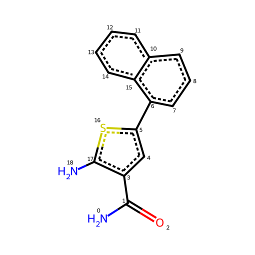 NC(=O)c1cc(-c2cccc3ccccc23)sc1N